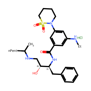 CCCCCC(C)NC[C@@H](O)[C@H](Cc1ccccc1)NC(=O)c1cc(NCC)cc(N2CCCCS2(=O)=O)c1.Cl